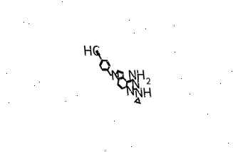 C#Cc1ccc(Cn2ccc3c4c(N)nc(NC5CC5)nc4ccc32)cc1